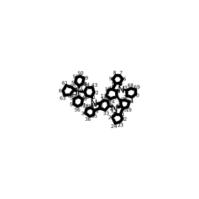 c1ccc(-n2c3ccccc3c3cccc(-c4cccc5c6ccccc6n(-c6ccc7c(c6)c6ccccc6n7-c6cccc([Si](c7ccccc7)(c7ccccc7)c7ccccc7)c6)c45)c32)cc1